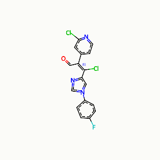 O=C/C(=C(/Cl)c1cn(-c2ccc(F)cc2)cn1)c1ccnc(Cl)c1